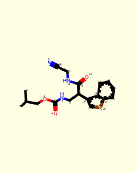 CC(C)COC(=O)NCC(C(=O)NCC#N)c1csc2ccccc12